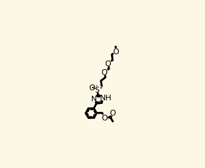 COCCOCOCCC[S@+]([O-])c1nc(-c2ccccc2COC(C)=O)c[nH]1